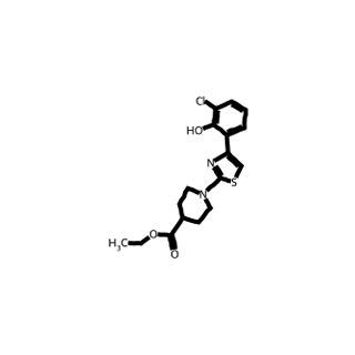 CCOC(=O)C1CCN(c2nc(-c3cccc(Cl)c3O)cs2)CC1